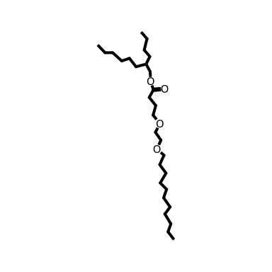 CCCCCCCCCCCOCCOCCCC(=O)OCC(CCCC)CCCCCC